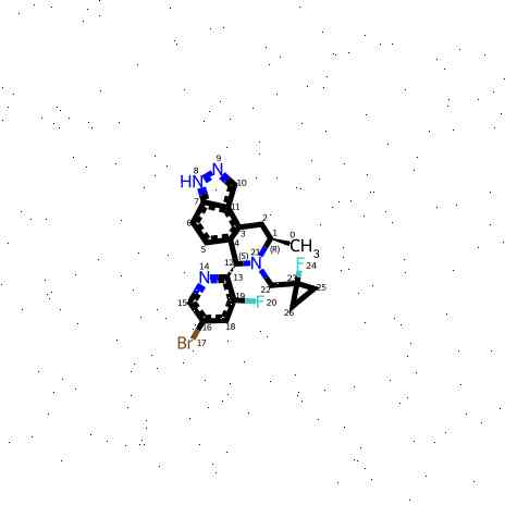 C[C@@H]1Cc2c(ccc3[nH]ncc23)[C@@H](c2ncc(Br)cc2F)N1CC1(F)CC1